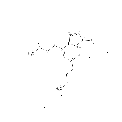 CCCCc1cc(CCCC)n2ncc(Br)c2n1